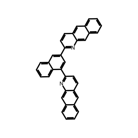 c1ccc2cc3nc(-c4cc(-c5ccc6cc7ccccc7cc6n5)c5ccccc5c4)ccc3cc2c1